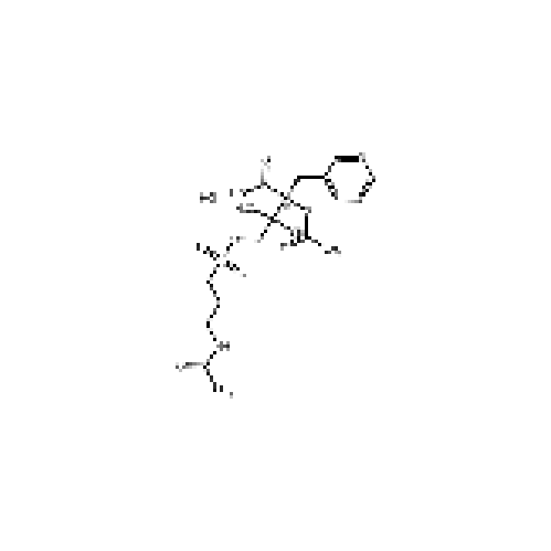 CC(=O)NCCCS(=O)(=O)OCC(C)(C)[C@@](Cc1cccnc1)(OC(C)=O)C(=O)O.Cl